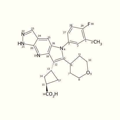 Cc1cc(-n2c(C3CCOCC3)c([C@H]3C[C@H](C(=O)O)C3)c3nc4[nH]ncc4cc32)ccc1F